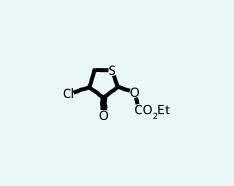 CCOC(=O)OC1SCC(Cl)C1=O